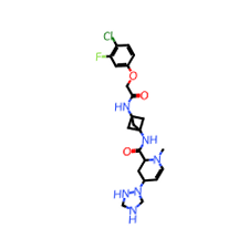 CN1C=CC(N2CNCN2)CC1C(=O)NC12CC(NC(=O)COc3ccc(Cl)c(F)c3)(C1)C2